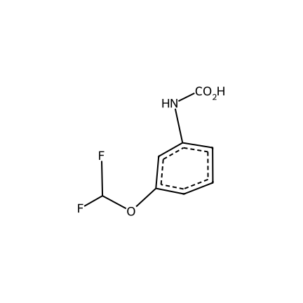 O=C(O)Nc1cccc(OC(F)F)c1